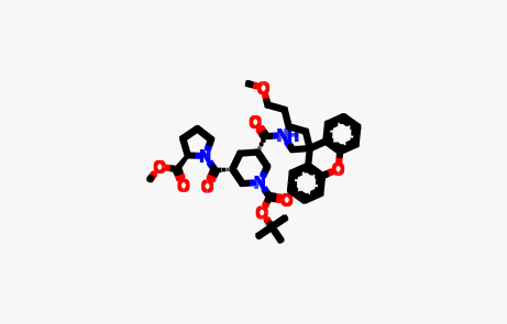 COCCCCC1(CNC(=O)[C@H]2C[C@@H](C(=O)N3CCC[C@@H]3C(=O)OC)CN(C(=O)OC(C)(C)C)C2)c2ccccc2Oc2ccccc21